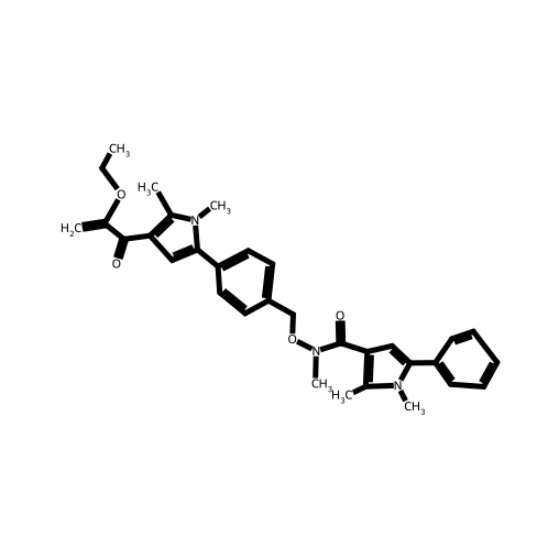 C=C(OCC)C(=O)c1cc(-c2ccc(CON(C)C(=O)c3cc(-c4ccccc4)n(C)c3C)cc2)n(C)c1C